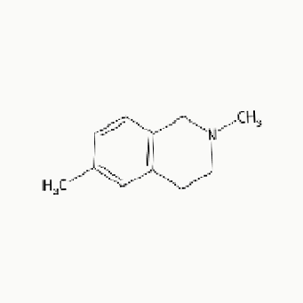 Cc1ccc2c(c1)CCN(C)C2